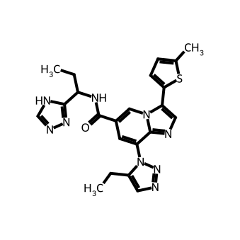 CCc1cnnn1-c1cc(C(=O)NC(CC)c2nnc[nH]2)cn2c(-c3ccc(C)s3)cnc12